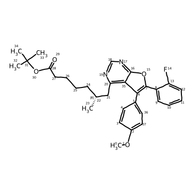 COc1ccc(-c2c(-c3ccccc3F)oc3ncnc(C[C@H](C)CCCCC(=O)OC(C)(C)C)c23)cc1